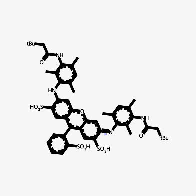 Cc1cc(C)c(NC(=O)CC(C)(C)C)c(C)c1/N=c1\cc2oc3cc(Nc4c(C)cc(C)c(NC(=O)CC(C)(C)C)c4C)c(S(=O)(=O)O)cc3c(-c3ccccc3S(=O)(=O)O)c-2cc1S(=O)(=O)O